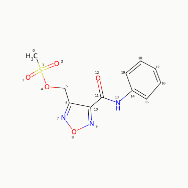 CS(=O)(=O)OCc1nonc1C(=O)Nc1ccccc1